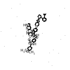 COC1(C)CCC(CNc2ccc(S(=O)(=O)NC(=O)c3ccc(N4CCC5(CC4)CC(N4CCC[C@H]4c4ccccc4C4CC4)C5)cc3N3c4cc5cc[nH]c5nc4O[C@H]4COCC[C@@H]43)cc2[N+](=O)[O-])CC1